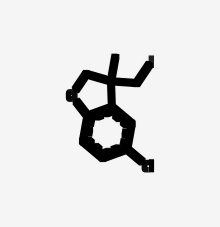 CC1(CI)COc2ccc(Cl)cc21